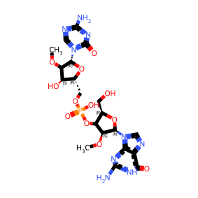 COC1[C@@H](O)[C@@H](COP(=O)(O)OC2[C@@H](CO)O[C@@H](n3cnc4c(=O)[nH]c(N)nc43)[C@H]2OC)O[C@H]1n1cnc(N)nc1=O